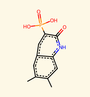 Cc1cc2cc(P(=O)(O)O)c(=O)[nH]c2cc1C